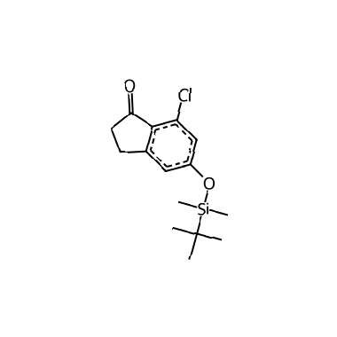 CC(C)(C)[Si](C)(C)Oc1cc(Cl)c2c(c1)CCC2=O